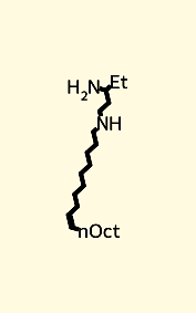 CCCCCCCC/C=C\CCCCCCCCNCCC(N)CC